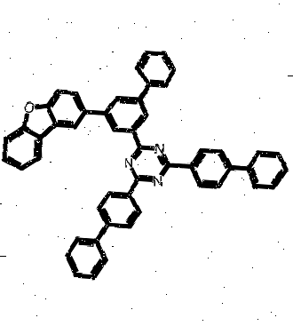 c1ccc(-c2ccc(-c3nc(-c4ccc(-c5ccccc5)cc4)nc(-c4cc(-c5ccccc5)cc(-c5ccc6oc7ccccc7c6c5)c4)n3)cc2)cc1